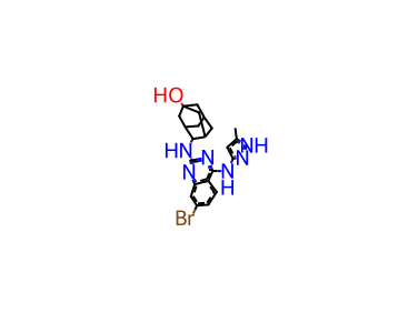 Cc1cc(Nc2nc(NC3C4CC5CC3CC(O)(C5)C4)nc3cc(Br)ccc23)n[nH]1